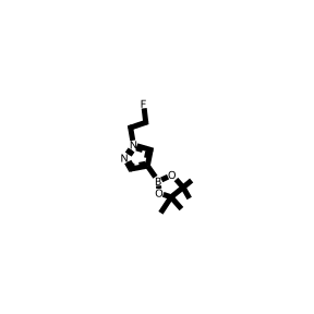 CC1(C)OB(c2cnn(CCF)c2)OC1(C)C